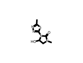 Cc1nnc(N2C(=O)N(C)CC2O)s1